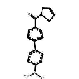 CN(C)c1ccc(-c2ccc(C(=O)C3CC=CC3)cc2)cc1